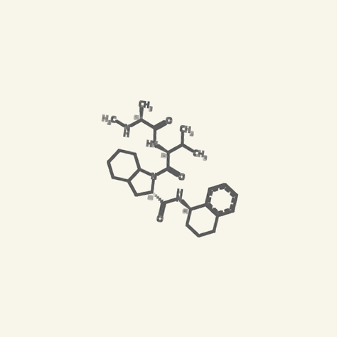 CN[C@@H](C)C(=O)N[C@H](C(=O)N1C2CCCCC2C[C@H]1C(=O)N[C@@H]1CCCc2ccccc21)C(C)C